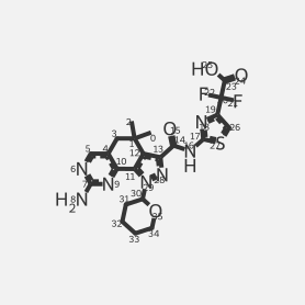 CC1(C)Cc2cnc(N)nc2-c2c1c(C(=O)Nc1nc(C(F)(F)C(=O)O)cs1)nn2C1CCCCO1